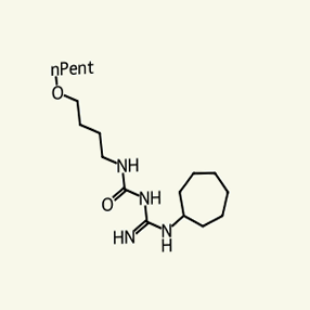 CCCCCOCCCCNC(=O)NC(=N)NC1CCCCCC1